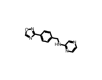 c1cnc(NCc2ccc(-c3ncon3)cc2)cn1